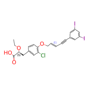 CCO[C@@H](Cc1ccc(OC/C=C/C#Cc2cc(I)cc(I)c2)c(Cl)c1)C(=O)O